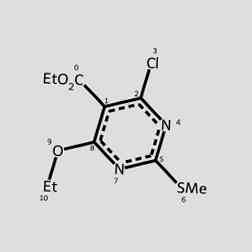 CCOC(=O)c1c(Cl)nc(SC)nc1OCC